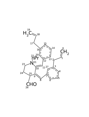 C=CCc1cccc(C=C2C(=Cc3cccc(CC=C)c3)N(CCC)CCC2C=O)c1